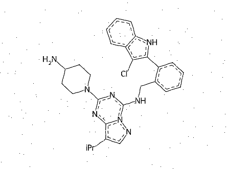 CC(C)c1cnn2c(NCc3ccccc3-c3[nH]c4ccccc4c3Cl)nc(N3CCC(N)CC3)nc12